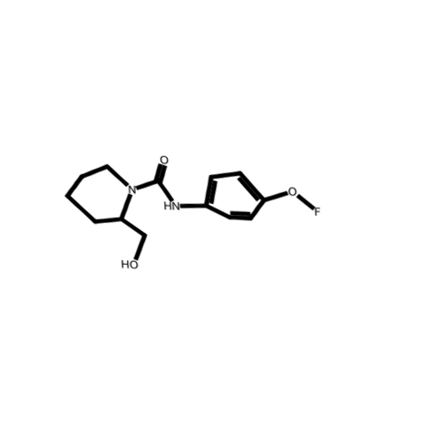 O=C(Nc1ccc(OF)cc1)N1CCCCC1CO